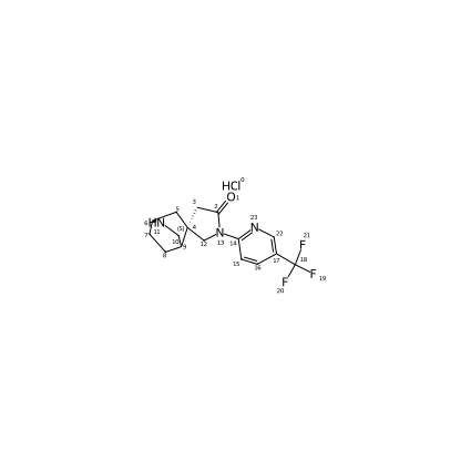 Cl.O=C1C[C@]2(CC3CCC2CN3)CN1c1ccc(C(F)(F)F)cn1